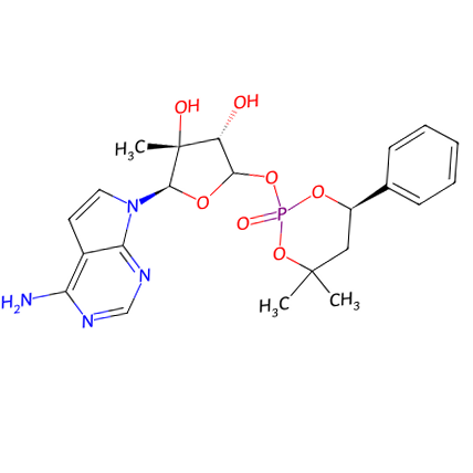 CC1(C)C[C@H](c2ccccc2)OP(=O)(OC2O[C@@H](n3ccc4c(N)ncnc43)[C@](C)(O)[C@@H]2O)O1